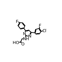 O=C(O)CNc1nc(-c2ccc(F)cc2)cc(-c2ccc(Cl)c(F)c2)n1